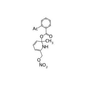 CC(=O)c1ccccc1C(=O)OC1(C)C=CC=C(CO[N+](=O)[O-])N1